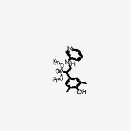 Cc1cc(C(CNc2cccnc2)P(=O)(OC(C)C)OC(C)C)cc(C)c1O